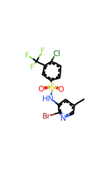 Cc1cnc(Br)c(NS(=O)(=O)c2ccc(Cl)c(C(F)(F)F)c2)c1